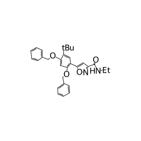 CCNC(=O)c1cc(-c2cc(C(C)(C)C)c(OCc3ccccc3)cc2OCc2ccccc2)on1